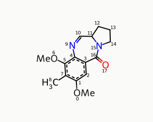 COc1cc2c(c(OC)c1C)N=CC1CCCN1C2=O